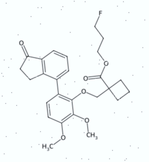 COc1ccc(-c2cccc3c2CCC3=O)c(OCC2(C(=O)OCCCF)CCC2)c1OC